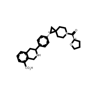 O=C(O)c1cccc2c1CNC(c1ccc([C@@H]3CC34CCN(C(=O)[C@H]3CCCO3)CC4)cc1)C2